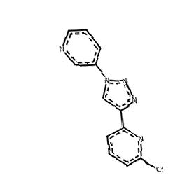 Clc1cccc(-c2cn(-c3cccnc3)nn2)n1